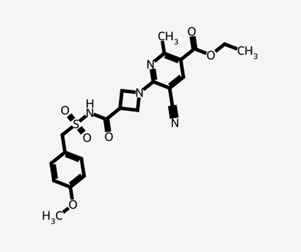 CCOC(=O)c1cc(C#N)c(N2CC(C(=O)NS(=O)(=O)Cc3ccc(OC)cc3)C2)nc1C